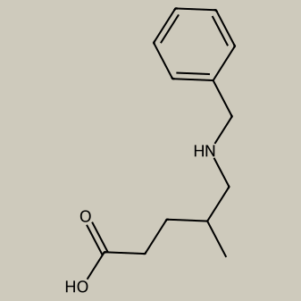 CC(CCC(=O)O)CNCc1ccccc1